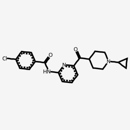 O=C(Nc1cccc(C(=O)C2CCN(C3CC3)CC2)n1)c1ccc(Cl)cc1